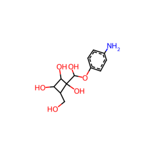 Nc1ccc(OC(O)C2(O)C(O)C(O)C2CO)cc1